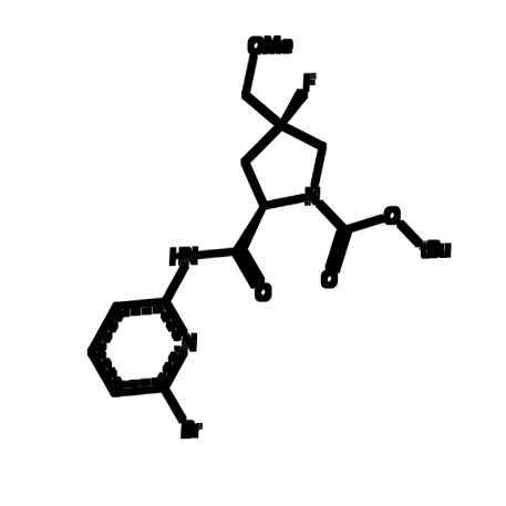 COC[C@@]1(F)C[C@H](C(=O)Nc2cccc(Br)n2)N(C(=O)OC(C)(C)C)C1